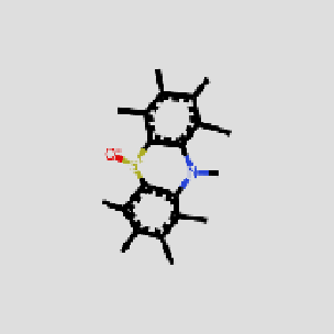 Cc1c(C)c(C)c2c(c1C)N(C)c1c(C)c(C)c(C)c(C)c1[S+]2[O-]